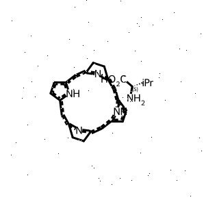 CC(C)[C@H](N)C(=O)O.c1cc2cc3nc(cc4ccc(cc5nc(cc1[nH]2)CC5)[nH]4)CC3